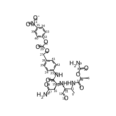 CC(NC(=O)[C@H](C)OC(N)=O)[C@@H](C=O)N[C@@H](CC(N)=O)C(=O)Nc1ccc(COC(=O)Oc2ccc([N+](=O)[O-])cc2)cc1